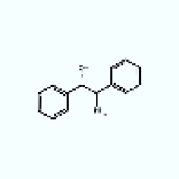 NC(c1ccccc1)[C@@H](O)c1ccccc1